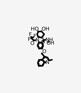 Cc1cc(COc2ccc(N(C(=O)C(F)(F)F)[C@@H]3CC(O)C(O)C[C@H]3C(=O)NO)cc2)c2ccccc2n1